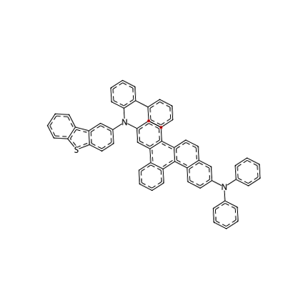 c1ccc(-c2ccccc2N(c2ccc3sc4ccccc4c3c2)c2ccc3c(c2)c2ccccc2c2c4ccc(N(c5ccccc5)c5ccccc5)cc4ccc32)cc1